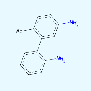 CC(=O)c1ccc(N)cc1-c1ccccc1N